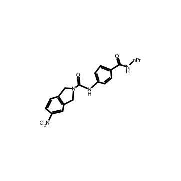 CCCNC(=O)c1ccc(NC(=O)N2Cc3ccc([N+](=O)[O-])cc3C2)cc1